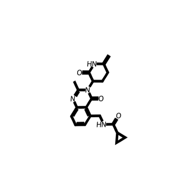 C=C1CCC(n2c(C)nc3cccc(CNC(=O)C4CC4)c3c2=O)C(=O)N1